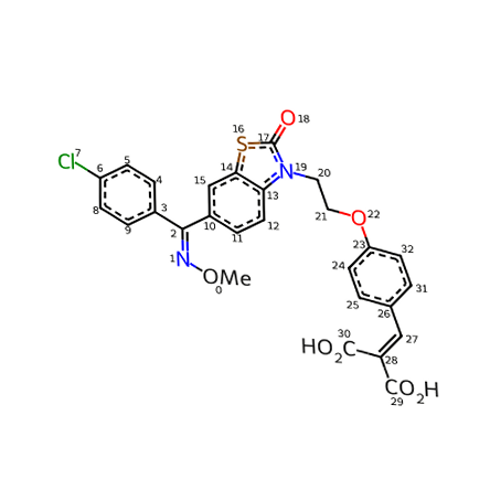 CO/N=C(/c1ccc(Cl)cc1)c1ccc2c(c1)sc(=O)n2CCOc1ccc(C=C(C(=O)O)C(=O)O)cc1